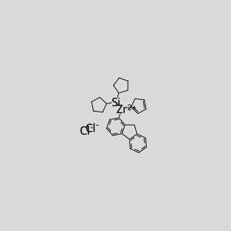 C1=CC[C]([Zr+2]([c]2cccc3c2Cc2ccccc2-3)=[Si](C2CCCC2)C2CCCC2)=C1.[Cl-].[Cl-]